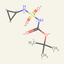 CC(C)(C)OC(=O)NS(=O)(=O)NC1CC1